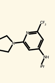 CC(C)Nc1cc(N2CCCC2)nc(C(F)(F)F)c1